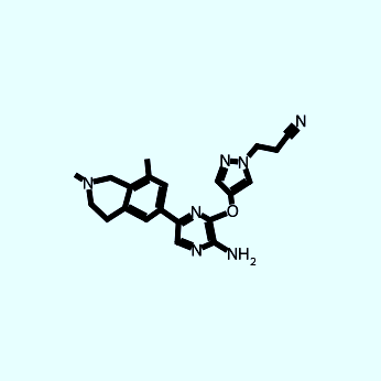 Cc1cc(-c2cnc(N)c(Oc3cnn(CCC#N)c3)n2)cc2c1CN(C)CC2